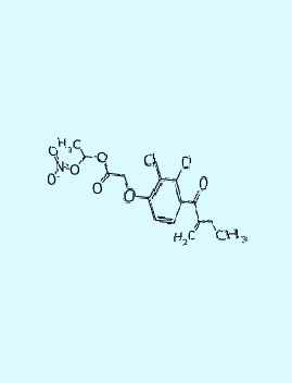 C=C(CC)C(=O)c1ccc(OCC(=O)OC(C)O[N+](=O)[O-])c(Cl)c1Cl